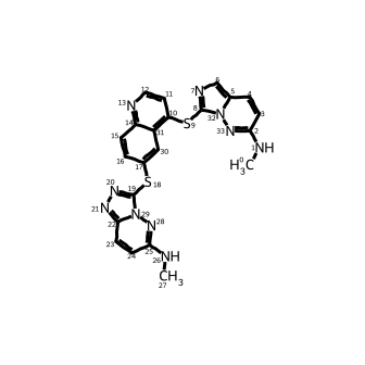 CNc1ccc2cnc(Sc3ccnc4ccc(Sc5nnc6ccc(NC)nn56)cc34)n2n1